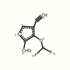 C#Cc1csc(C=O)c1OC(F)F